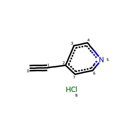 C#Cc1ccncc1.Cl